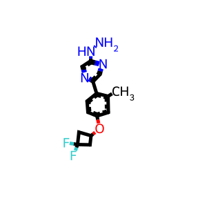 Cc1cc(OC2CC(F)(F)C2)ccc1-c1cnc(NN)cn1